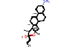 CC(C)/C=C/[C@@]1(O)O[C@H]2CC3C4CCC5C[C@@H](N)CC[C@]5(C)C4CC[C@]3(C)[C@H]2[C@@H]1C